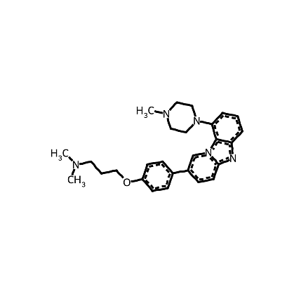 CN(C)CCCOc1ccc(-c2ccc3nc4cccc(N5CCN(C)CC5)c4n3c2)cc1